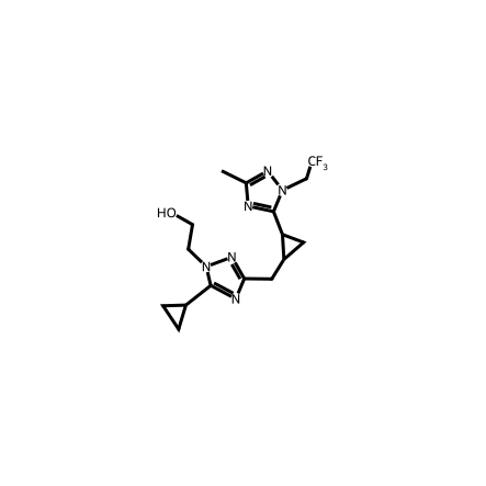 Cc1nc(C2CC2Cc2nc(C3CC3)n(CCO)n2)n(CC(F)(F)F)n1